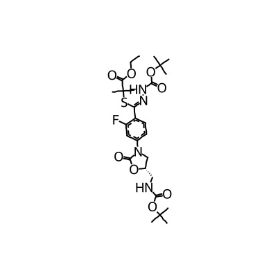 CCOC(=O)C(C)(C)SC(=NNC(=O)OC(C)(C)C)c1ccc(N2C[C@H](CNC(=O)OC(C)(C)C)OC2=O)cc1F